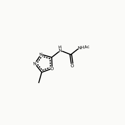 [CH2]C(=O)NC(=O)Nc1nnc(C)o1